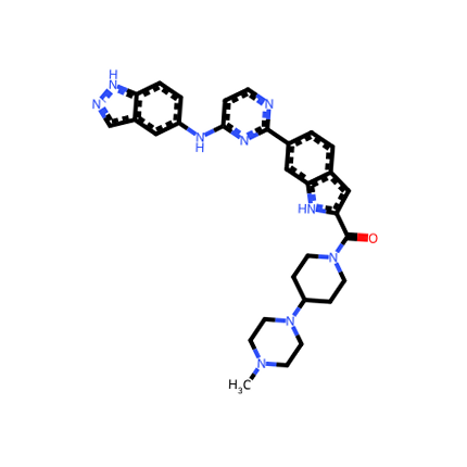 CN1CCN(C2CCN(C(=O)c3cc4ccc(-c5nccc(Nc6ccc7[nH]ncc7c6)n5)cc4[nH]3)CC2)CC1